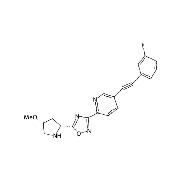 CO[C@H]1CN[C@@H](c2nc(-c3ccc(C#Cc4cccc(F)c4)cn3)no2)C1